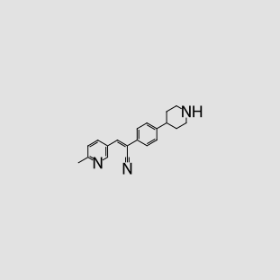 Cc1ccc(/C=C(\C#N)c2ccc(C3CCNCC3)cc2)cn1